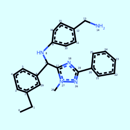 CCc1cccc(C(Nc2ccc(CN)cc2)c2nc(-c3ccccc3)nn2C)c1